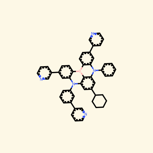 c1ccc(N2c3cc(-c4cccnc4)ccc3B3c4ccc(-c5cccnc5)cc4N(c4cccc(-c5cccnc5)c4)c4cc(C5CCCCC5)cc2c43)cc1